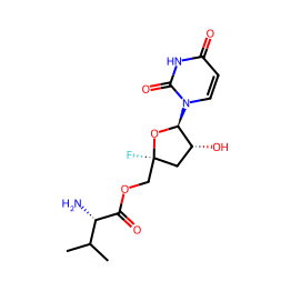 CC(C)[C@H](N)C(=O)OC[C@]1(F)C[C@@H](O)[C@H](n2ccc(=O)[nH]c2=O)O1